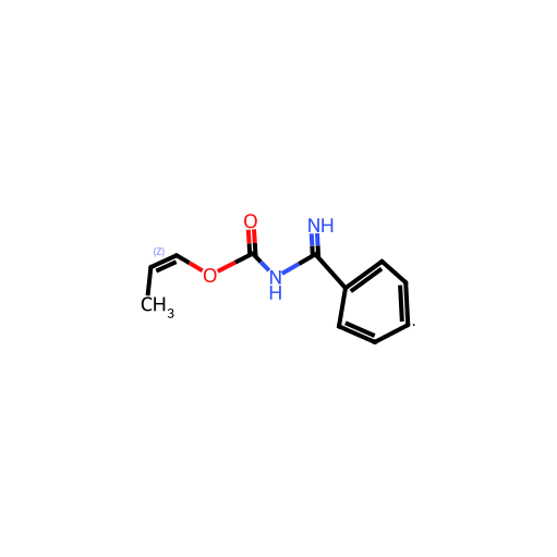 C/C=C\OC(=O)NC(=N)c1cc[c]cc1